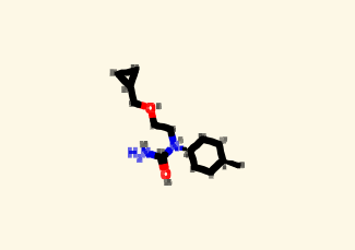 C[C@H]1CC[C@H](N(CCOCC2CC2)C(N)=O)CC1